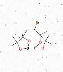 CC1(C)OB2OC1(C)CC(Br)C1(C)OB2OC1(C)C